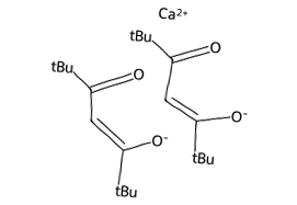 CC(C)(C)C(=O)C=C([O-])C(C)(C)C.CC(C)(C)C(=O)C=C([O-])C(C)(C)C.[Ca+2]